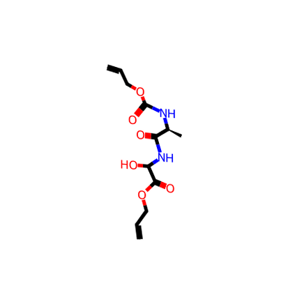 C=CCOC(=O)N[C@@H](C)C(=O)NC(O)C(=O)OCC=C